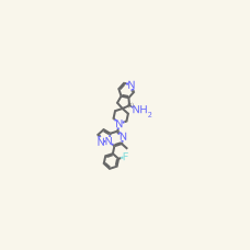 Cc1nc(N2CCC3(CC2)Cc2ccncc2[C@H]3N)c2ccnn2c1-c1ccccc1F